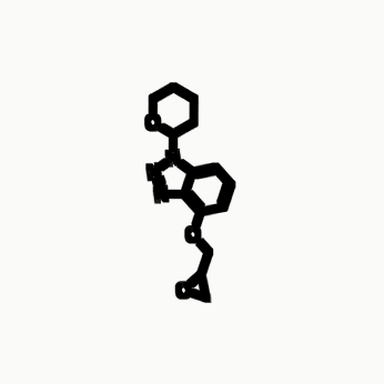 c1cc(OCC2CO2)c2nnn(C3CCCCO3)c2c1